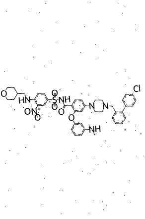 CNc1cccc(Oc2cc(N3CCN(Cc4ccccc4-c4ccc(Cl)cc4)CC3)ccc2C(=O)NS(=O)(=O)c2ccc(NCC3CCOCC3)c([N+](=O)[O-])c2)c1